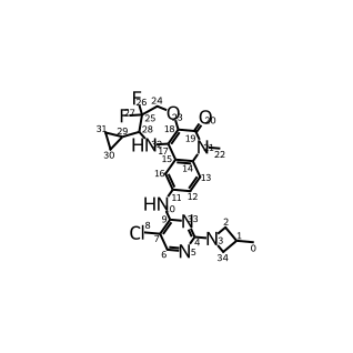 CC1CN(c2ncc(Cl)c(Nc3ccc4c(c3)c3c(c(=O)n4C)OCC(F)(F)C(C4CC4)N3)n2)C1